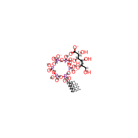 O=C([O-])[C@H](O)[C@@H](O)[C@H](O)[C@H](O)CO.O=P1([O-])OP(=O)([O-])OP(=O)([O-])OP(=O)([O-])OP(=O)([O-])OP(=O)([O-])O1.[Na+].[Zn+2].[Zn+2].[Zn+2]